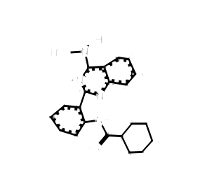 CN(C)c1nc(-c2ccccc2NC(=O)C2CCCCC2)nc2ccccc12